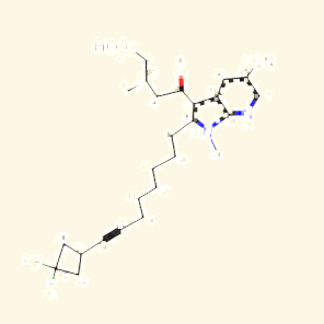 C[C@@H](CC(=O)O)CC(=O)c1c(CCCCCCC#CC2CC(F)(F)C2)n(C)c2ncc(C#N)cc12